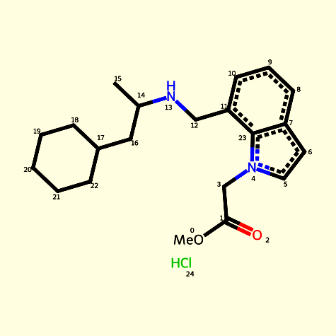 COC(=O)Cn1ccc2cccc(CNC(C)CC3CCCCC3)c21.Cl